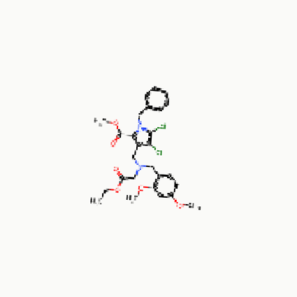 CCOC(=O)CN(Cc1ccc(OC)cc1OC)Cc1c(Cl)c(Cl)n(Cc2ccccc2)c1C(=O)OC